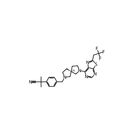 CC(C)(C#N)c1ccc(CN2CC[C@]3(CCN(c4ncnc5sc(CC(F)(F)F)nc45)C3)C2)cc1